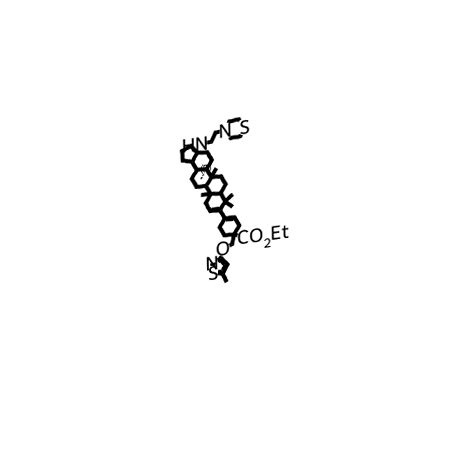 CCOC(=O)C1(COc2cc(C)sn2)CC=C(C2=CCC3(C)C(CCC4(C)C3CCC3C5CCCC5(NCCN5CCSCC5)CC[C@]34C)C2(C)C)CC1